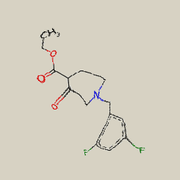 CCOC(=O)C1CCN(Cc2cc(F)cc(F)c2)CC1=O